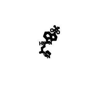 CC(CCNC1=Nc2ccc(S(=O)(=O)N(C)C)c3cccc1c23)n1ccnc1